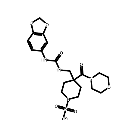 CCCS(=O)(=O)N1CCC(CNC(=O)Nc2ccc3c(c2)OCO3)(C(=O)N2CCOCC2)CC1